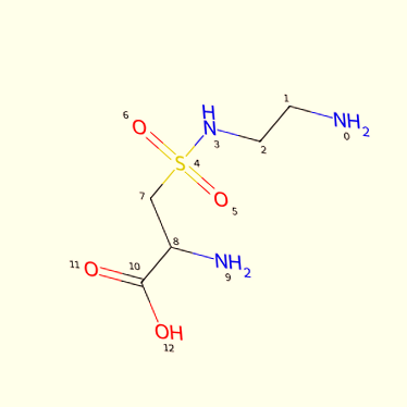 NCCNS(=O)(=O)CC(N)C(=O)O